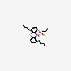 CCCCc1cccc2c1Sc1cccc(CCCC)c1N2OS(=O)(=O)CCC